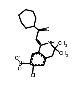 CC1(C)Cc2cc(Cl)c([N+](=O)[O-])cc2C(=CC(=O)C2CCCCCC2)N1